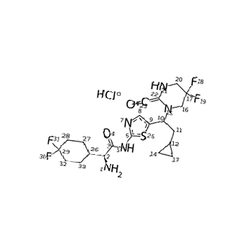 Cl.N[C@H](C(=O)Nc1ncc(C(CC2CC2)N2CC(F)(F)CNC2=C=O)s1)C1CCC(F)(F)CC1